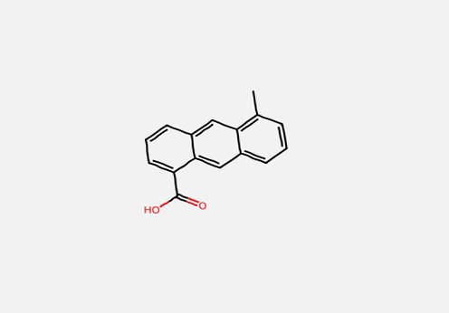 Cc1cccc2cc3c(C(=O)O)cccc3cc12